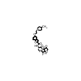 CC(C)C[C@H](NC(=O)c1cc2cc(OCCN3CCC(C)CC3)ccc2o1)C(=O)N1C[C@H](F)[C@H]2OCC(=O)[C@H]21